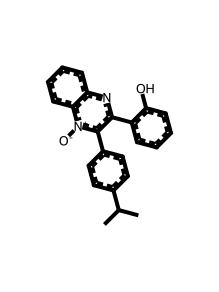 CC(C)c1ccc(-c2c(-c3ccccc3O)nc3ccccc3[n+]2[O-])cc1